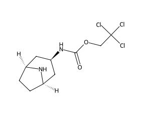 O=C(N[C@H]1C[C@H]2CC[C@@H](C1)N2)OCC(Cl)(Cl)Cl